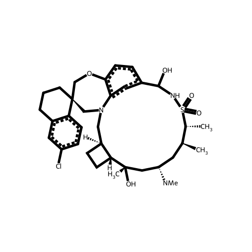 CN[C@H]1C[C@H](C)[C@@H](C)S(=O)(=O)NC(O)c2ccc3c(c2)N(C[C@@H]2CC[C@H]2[C@@](C)(O)C1)C[C@@]1(CCCc2cc(Cl)ccc21)CO3